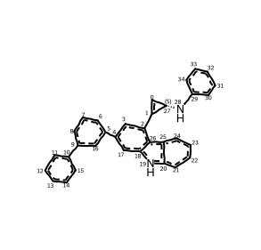 C1=C(c2cc(-c3cccc(-c4ccccc4)c3)cc3[nH]c4ccccc4c23)[C@H]1Nc1ccccc1